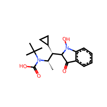 C[C@@H]([C@H](C1CC1)C1C(=O)c2ccccc2N1O)N(C(=O)O)C(C)(C)C